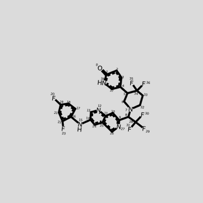 O=c1ccc(C2CN(C(c3cc4ncc(Nc5ccc(F)cc5F)cc4cn3)C(F)(F)F)CCC2(F)F)c[nH]1